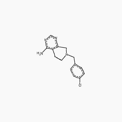 Nc1ncnc2c1CCN(Cc1ccc(Cl)cc1)C2